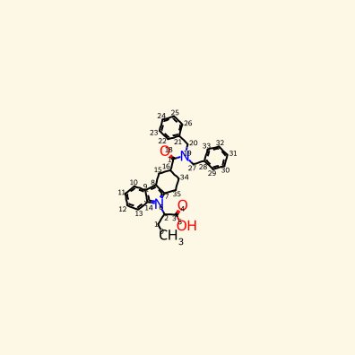 CCC(C(=O)O)n1c2c(c3ccccc31)CC(C(=O)N(Cc1ccccc1)Cc1ccccc1)CC2